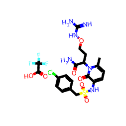 Cc1ccc(NS(=O)(=O)Cc2ccc(Cl)cc2)c(=O)n1C(CCONC(=N)N)C(N)=O.O=C(O)C(F)(F)F